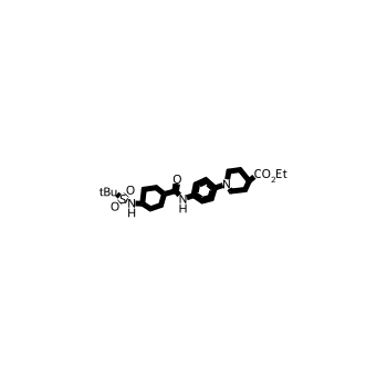 CCOC(=O)C1CCN(c2ccc(NC(=O)C3CCC(NS(=O)(=O)C(C)(C)C)CC3)cc2)CC1